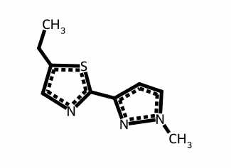 CCc1cnc(-c2ccn(C)n2)s1